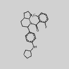 Cc1cccc(F)c1C(=O)N1C(c2ccc(NC3CCCC3)cc2)CCC2CCCC21